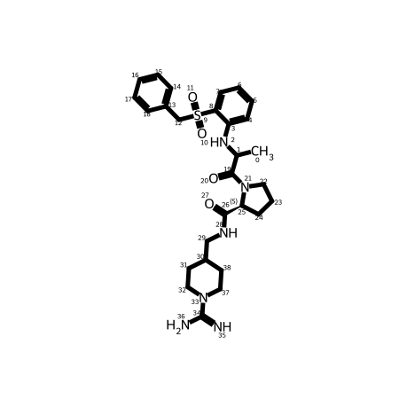 CC(Nc1ccccc1S(=O)(=O)Cc1ccccc1)C(=O)N1CCC[C@H]1C(=O)NCC1CCN(C(=N)N)CC1